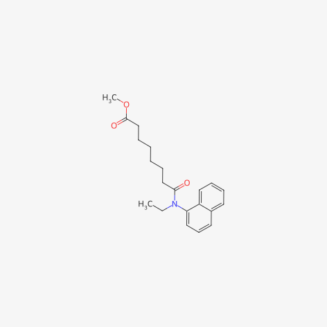 CCN(C(=O)CCCCCCC(=O)OC)c1cccc2ccccc12